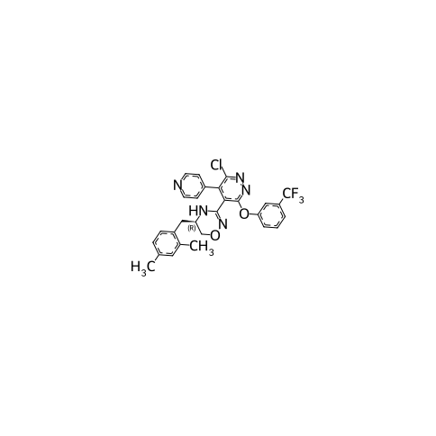 Cc1ccc(C[C@@H]2CON=C(c3c(Oc4cccc(C(F)(F)F)c4)nnc(Cl)c3-c3ccncc3)N2)c(C)c1